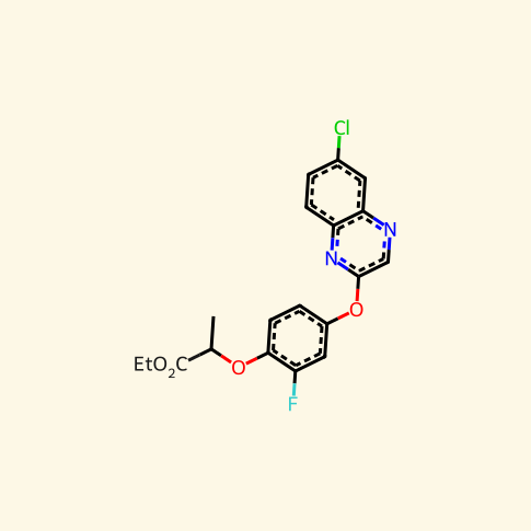 CCOC(=O)C(C)Oc1ccc(Oc2cnc3cc(Cl)ccc3n2)cc1F